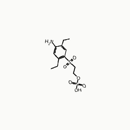 CCc1cc(S(=O)(=O)CCOS(=O)(=O)O)c(CC)cc1N